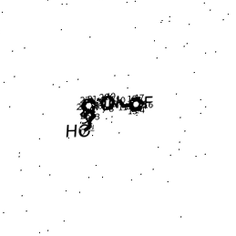 OCc1cc2c(N3CCN(CCc4ccc(F)cc4)CC3)cccc2s1